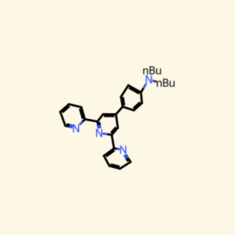 CCCCN(CCCC)c1ccc(-c2cc(-c3ccccn3)nc(-c3ccccn3)c2)cc1